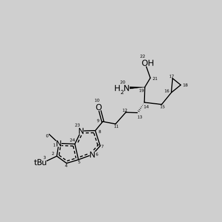 Cn1c(C(C)(C)C)cc2ncc(C(=O)CCC[C@@H](CC3CC3)[C@@H](N)CO)nc21